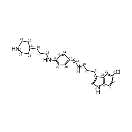 Clc1ccc2[nH]cc(CCCNSc3ccc(NCCCC4CCNCC4)cc3)c2c1